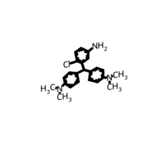 CN(C)c1ccc(C(c2ccc(N(C)C)cc2)c2cc(N)ccc2Cl)cc1